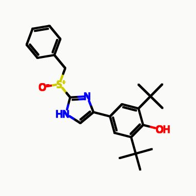 CC(C)(C)c1cc(-c2c[nH]c([S+]([O-])Cc3ccccc3)n2)cc(C(C)(C)C)c1O